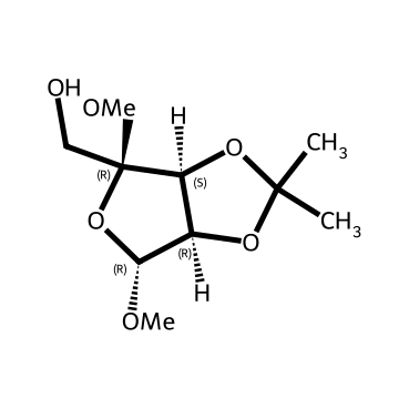 CO[C@@H]1O[C@@](CO)(OC)[C@H]2OC(C)(C)O[C@@H]12